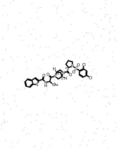 CC(C)(C)C(NC(=O)c1cc2ccccc2s1)C(=O)N1C[C@@H]2C[C@H]1CN2C(=O)[C@H]1CCCN1S(=O)(=O)c1ccc(Cl)cc1Cl